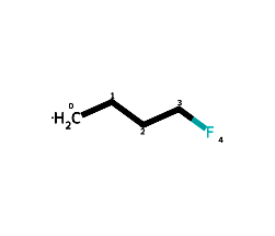 [CH2]CCCF